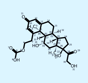 C[C@]12C(CCOC(=O)O)=CC(=O)C=C1CC[C@@H]1[C@@H]2[C@@H](O)C[C@@]2(C)[C@H]1CC[C@]2(O)C(=O)CO